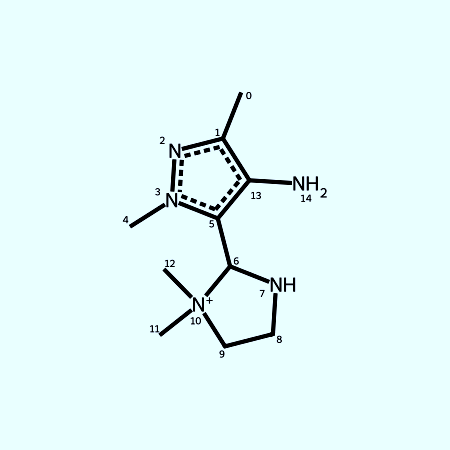 Cc1nn(C)c(C2NCC[N+]2(C)C)c1N